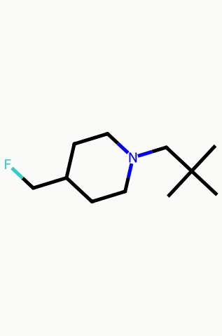 CC(C)(C)CN1CCC(CF)CC1